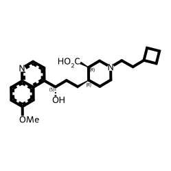 COc1ccc2nccc([C@@H](O)CC[C@@H]3CCN(CCC4CCC4)C[C@@H]3C(=O)O)c2c1